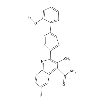 CCOc1ccccc1-c1ccc(-c2nc3ccc(F)cc3c(C(N)=O)c2C)cc1